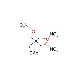 CC(=O)OCC(CO[N+](=O)[O-])(CO[N+](=O)[O-])CO[N+](=O)[O-]